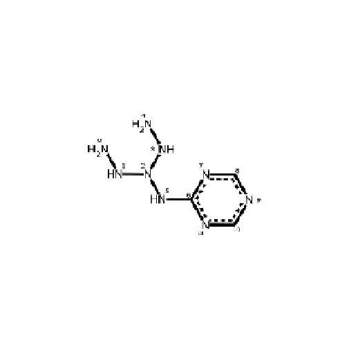 NNN(NN)Nc1ncncn1